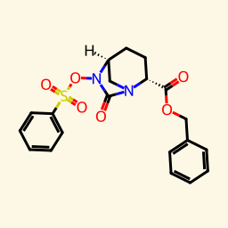 O=C(OCc1ccccc1)[C@H]1CC[C@H]2CN1C(=O)N2OS(=O)(=O)c1ccccc1